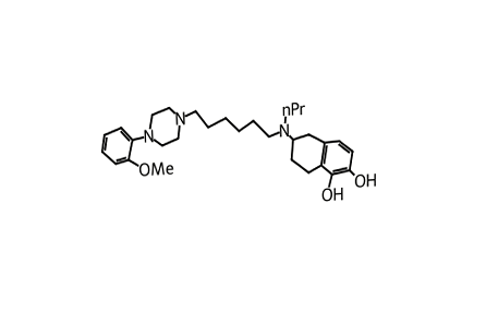 CCCN(CCCCCCN1CCN(c2ccccc2OC)CC1)C1CCc2c(ccc(O)c2O)C1